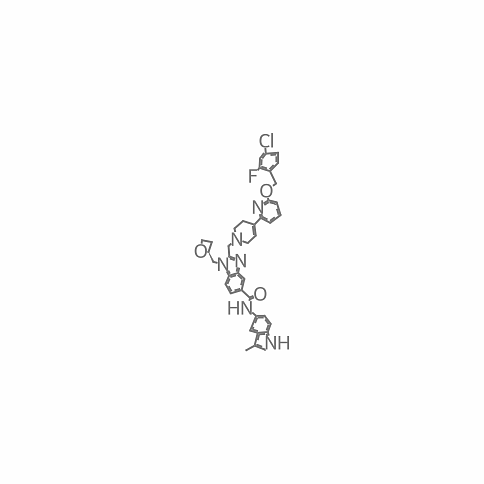 Cc1c[nH]c2ccc(NC(=O)c3ccc4c(c3)nc(CN3CC=C(c5cccc(OCc6ccc(Cl)cc6F)n5)CC3)n4C[C@@H]3CCO3)cc12